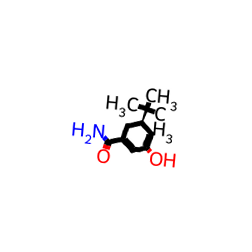 CC(C)(C)[C@H]1C=C(O)C=C(C(N)=O)C1